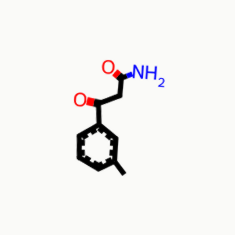 Cc1cccc(C(=O)CC(N)=O)c1